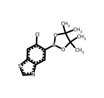 CC1(C)OB(c2cc3ncsc3cc2Cl)OC1(C)C